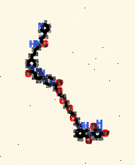 O=C(/C=C/c1cccnc1)NCCCCC1CCN(C(=O)c2ccc(N3CCN(C(=O)COCCOCCOCCOCCNc4cccc5c4CN(C4CCC(=O)NC4=O)C5=O)CC3)nn2)CC1